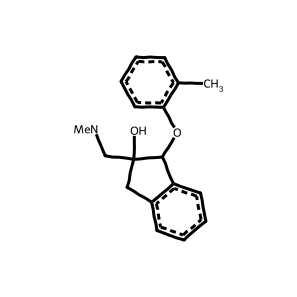 CNCC1(O)Cc2ccccc2C1Oc1ccccc1C